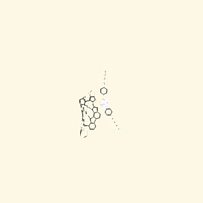 CC1c2c3c4c5c2C2C6=c7c8c9c%10c(ccc%11c%12ccc%13c(c4c4c%13c%12c(c%10%11)c8c4c75)C4C3C(c3ccc(C(F)(F)C(F)(F)C(F)(F)C(F)(F)F)cc3)=NN4c3ccc(C(F)(F)C(F)(F)C(F)(F)C(F)(F)F)cc3)C3C=CC(C6C93)C12